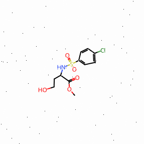 COC(=O)C(CCO)NS(=O)(=O)c1ccc(Cl)cc1